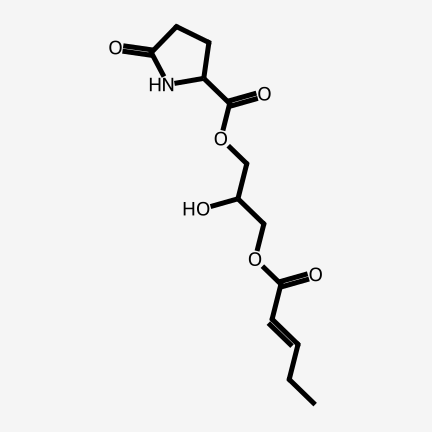 CCC=CC(=O)OCC(O)COC(=O)C1CCC(=O)N1